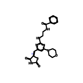 O=C1NC(=O)/C(=C/c2cc(N3CCOCC3)nc(NCCNC(=O)c3ccccc3)n2)S1